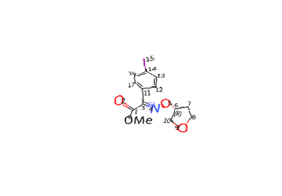 COC(=O)/C(=N/O[C@@H]1CCOC1)c1ccc(I)cc1